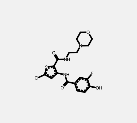 O=C(Nc1cc(Cl)sc1C(=O)NCCN1CCOCC1)c1ccc(O)c(F)c1